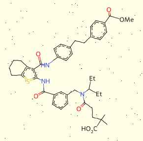 CCC(CC)N(Cc1cccc(C(=O)Nc2sc3c(c2C(=O)Nc2ccc(CCc4ccc(C(=O)OC)cc4)cc2)CCCC3)c1)C(=O)CCC(C)(C)C(=O)O